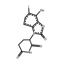 O=C1CCC(n2c(=O)oc3c(O)c(I)ccc32)C(=O)N1